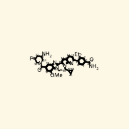 CCc1cc(C(N)=O)ccc1-c1ccc2cc(-c3nc4cc(C(=O)N5C[C@H](N)C[C@@H](F)C5)cc(OC)c4n3C)n(CC3CC3)c2n1